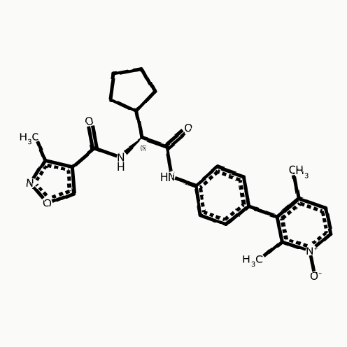 Cc1cc[n+]([O-])c(C)c1-c1ccc(NC(=O)[C@@H](NC(=O)c2conc2C)C2CCCC2)cc1